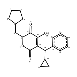 O=C1OC(CC2CCCC2)C(=O)C(O)=C1C(c1ccccc1)C1CC1